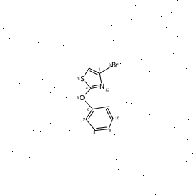 Brc1csc(Oc2ccccc2)n1